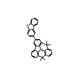 CC1(C)c2cccc3c2-n2c4c1cccc4c1cc(-c4ccc5sc6ccccc6c5c4)cc(c12)C3(C)C